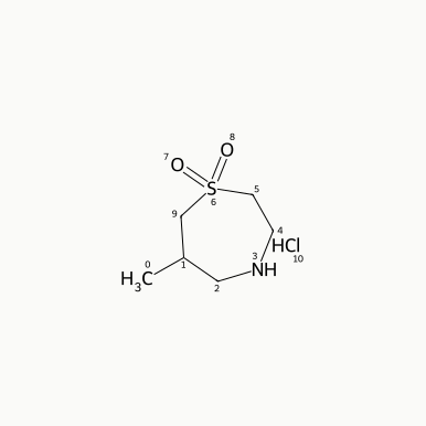 CC1CNCCS(=O)(=O)C1.Cl